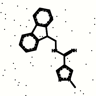 Cn1cc(C(=N)NCC2c3ccccc3-c3ccccc32)cn1